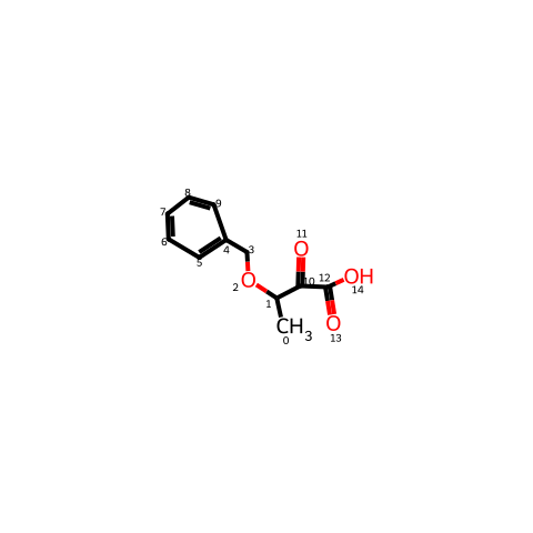 CC(OCc1ccccc1)C(=O)C(=O)O